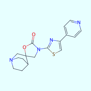 O=C1OC2(CN3CCC2CC3)CN1c1nc(-c2ccncc2)cs1